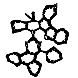 CC1(C)c2ccccc2N(c2nc(-c3ccccc3)c3c4ccccc4c4ccccc4c3n2)c2c1c1ccncc1c1c2oc2ccccc21